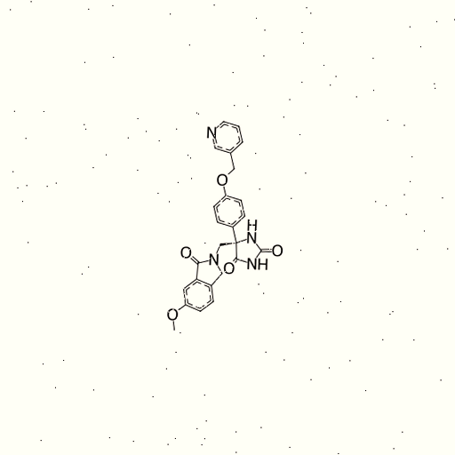 COc1ccc2c(c1)C(=O)N(C[C@@]1(c3ccc(OCc4cccnc4)cc3)NC(=O)NC1=O)C2